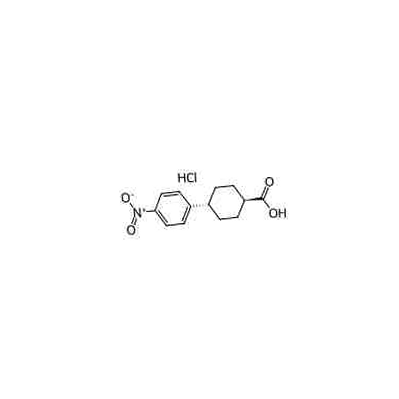 Cl.O=C(O)[C@H]1CC[C@H](c2ccc([N+](=O)[O-])cc2)CC1